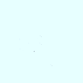 CC(C)(C)[S@+]([O-])N[C@@H](Cc1cccc(F)n1)c1ccccc1-c1noc2cc(Br)ccc12